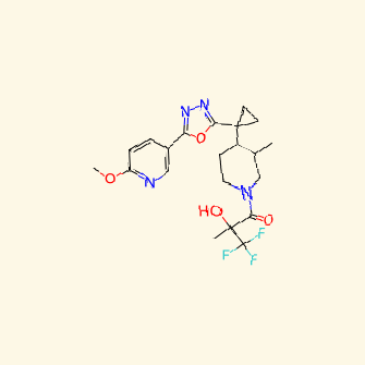 COc1ccc(-c2nnc(C3(C4CCN(C(=O)C(C)(O)C(F)(F)F)CC4C)CC3)o2)cn1